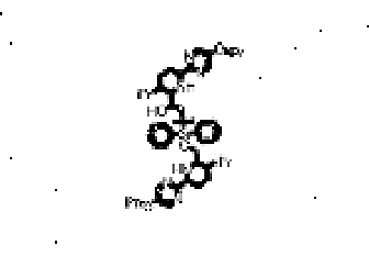 CC(C)Oc1cnc(C2CCC(C(C)C)C(CO[Si](c3ccccc3)(c3ccccc3)C(C)(C)CC(O)C3NC(c4ncc(OC(C)C)cn4)CCC3C(C)C)N2)nc1